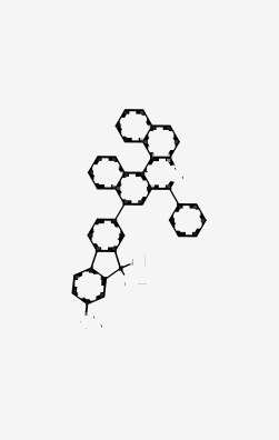 CC1(C)c2cc(C#N)ccc2-c2ccc(-c3cc4c(-c5ccccc5)nc5ccc6ccccc6c5c4c4ccccc34)cc21